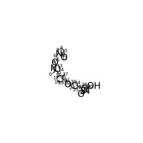 Cc1nc(OCCN2CCCC2=O)ccc1-c1cccc(COc2ccc(-c3cc(O)n[s+]3[O-])cc2)c1C